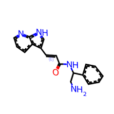 NCC(NC(=O)/C=C/c1c[nH]c2ncccc12)c1ccccc1